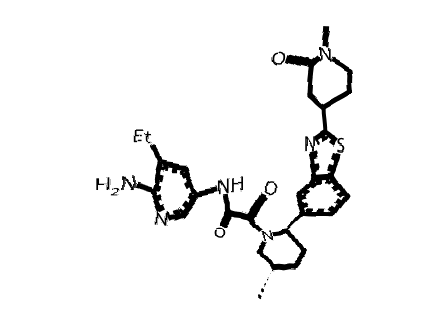 CCc1cc(NC(=O)C(=O)N2C[C@@H](C)CC[C@@H]2c2ccc3sc(C4CCN(C)C(=O)C4)nc3c2)cnc1N